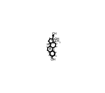 C#C[C@]1(O)CC[C@H]2[C@@H]3CCc4cc(O)ccc4C3CC[C@@]21C